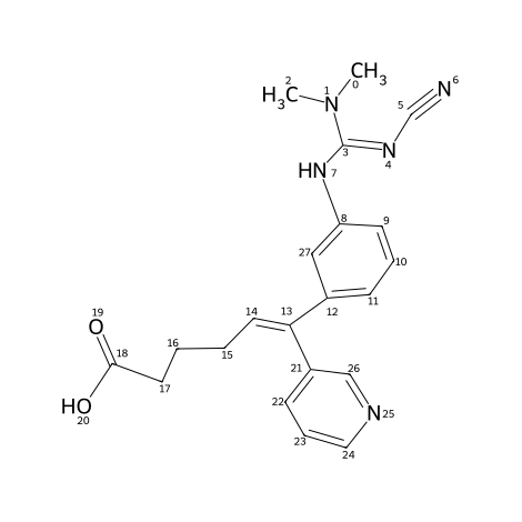 CN(C)C(=NC#N)Nc1cccc(C(=CCCCC(=O)O)c2cccnc2)c1